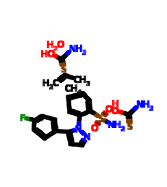 C.C=CC.NC(O)=S.NC(O)=S.NS(=O)(=O)c1ccccc1-n1nccc1-c1ccc(F)cc1.O